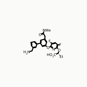 CC[C@@H](Oc1nc(Oc2cc(CC(=O)NC)cc(-c3cccc(CN)c3)c2)c(F)cc1F)C(=O)O